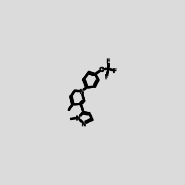 CC1=CCN(c2ccc(OC(F)(F)F)cc2)C=C1c1ccnn1C